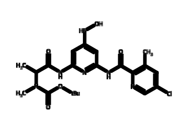 Cc1cc(Cl)cnc1C(=O)Nc1cc(BO)cc(NC(=O)C(C)N(C)C(=O)OC(C)(C)C)n1